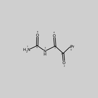 CC(C)C(=O)C(=O)NC(N)=O